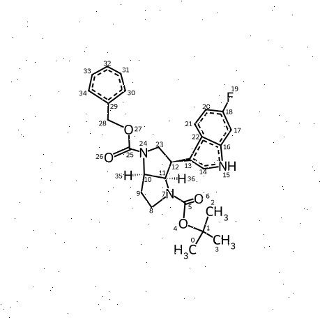 CC(C)(C)OC(=O)N1CC[C@@H]2[C@H]1[C@H](c1c[nH]c3cc(F)ccc13)CN2C(=O)OCc1ccccc1